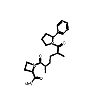 CNC(=O)C1CCN1C(=O)C(C)CCC(C)C(=O)N1CCCC1c1ccccc1